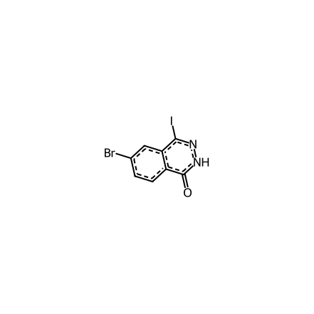 O=c1[nH]nc(I)c2cc(Br)ccc12